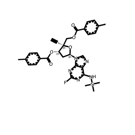 C#C[C@]1(COC(=O)c2ccc(C)cc2)O[C@@H](n2cnc3c(N[Si](C)(C)C)nc(F)nc32)C[C@@H]1OC(=O)c1ccc(C)cc1